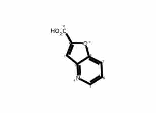 O=C(O)c1cc2ncccc2o1